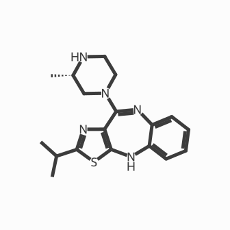 CC(C)c1nc2c(s1)Nc1ccccc1N=C2N1CCN[C@@H](C)C1